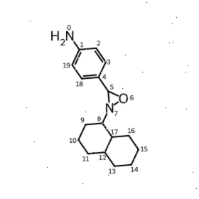 Nc1ccc(C2ON2C2CCCC3CCCCC32)cc1